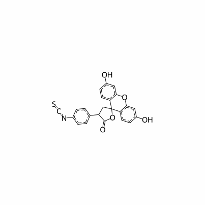 O=C1OC2(CC1c1ccc(N=C=S)cc1)c1ccc(O)cc1Oc1cc(O)ccc12